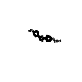 CCCCCCCCOc1ccc(-c2ncc(C3CCC(CCC)CC3)s2)cc1